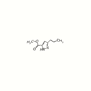 CCCc1cc(C(=O)OC)[nH]n1